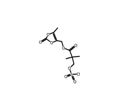 Cc1oc(=O)oc1COC(=O)C(C)(C)COS(=O)(=O)Cl